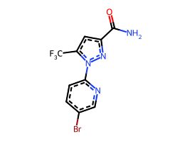 NC(=O)c1cc(C(F)(F)F)n(-c2ccc(Br)cn2)n1